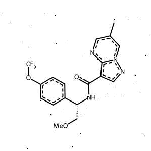 COC[C@@H](NC(=O)c1cnn2cc(C)cnc12)c1ccc(OC(F)(F)F)cc1